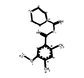 COc1cc(C(=N)OC(=N)N2CCOCC2)c(C)cc1C